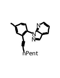 CCCCCC#Cc1cc(C)ccc1-n1ncc2cccnc21